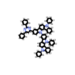 c1ccc(-c2cc(-c3ccc4c(c3)c3ccc5c(c6ccccc6n5-c5ccccc5)c3n4-c3ccc4c(c3)c3ccc5c(c6ccccc6n5-c5ccccc5)c3n4-c3ccccc3)nc(-c3ccccc3)n2)cc1